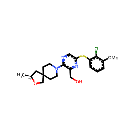 COc1cccc(Sc2cnc(N3CCC4(CC3)CO[C@@H](C)C4)c(CO)n2)c1Cl